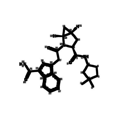 CC1(C)CCC(NC(=O)[C@@H]2C[C@H]3C[C@H]3N2C(=O)Cn2nc(C(N)=O)c3ccncc32)C1